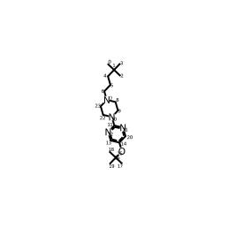 CC(C)(C)CCCN1CCN(c2ncc(OC(C)(C)C)cn2)CC1